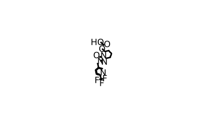 O=C(O)OC1CCCc2nn(Cc3ccc(C(F)(F)F)nc3)c(=O)n21